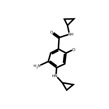 Nc1cc(C(=O)NC2CC2)c(Cl)cc1NC1CC1